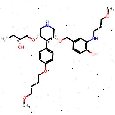 CC[C@@H](O)CO[C@@H]1CNC[C@H](OCc2ccc(O)c(NCCCOC)c2)[C@H]1c1ccc(OCCCCOC)cc1